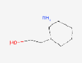 N.OCCC1CCCCC1